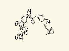 Cc1ccccc1/C=C\N(C)Cc1ccc(CC(=O)Nc2ccc3c(c2)C(=O)N(C2CCC(=O)NC2=O)C3=O)cc1